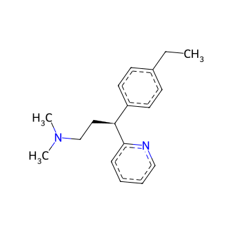 CCc1ccc([C@H](CCN(C)C)c2ccccn2)cc1